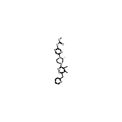 COC(=O)Oc1cnc(N2CCN(c3nnc(Cc4ccccn4)c(C)c3C)C[C@H]2C)cn1